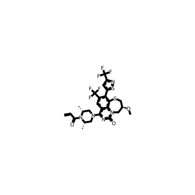 C=CC(=O)N1[C@H](C)CN(c2nc(=O)n3c4c(c(-c5cc(C(F)(F)F)ns5)c(C(F)(F)F)cc24)SC[C@@H](OC)C3)C[C@@H]1C